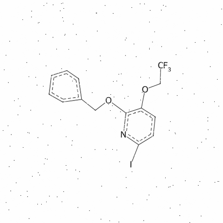 FC(F)(F)COc1ccc(I)nc1OCc1ccccc1